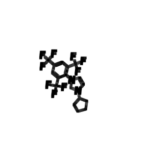 FC(F)(F)c1cc(C(F)(F)F)c(N2C=CN(C3CCCC3)C2)c(C(F)(F)F)c1